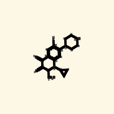 O=C1C(=O)C(C(=O)O)N(C2CC2)c2cc(N3CCNCC3)c(F)cc21